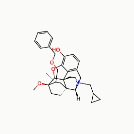 CO[C@]12CC[C@@]3(C[C@]1(C)COCc1ccccc1)[C@H]1Cc4ccc(O)c5c4[C@@]3(CCN1CC1CC1)C2O5